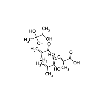 C=C(C)C(=O)O.C=C(C)C(=O)O.C=C(C)C(=O)O.CC(O)C(C)(O)O